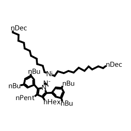 CCCCCCC1=C(c2cc(CCCC)cc(CCCC)c2)[N+](=[N-])C(c2cc(CCCC)cc(CCCC)c2)=C1CCCCC.CCCCCCCCCCCCCCCCCCCC[CH2][Ni][CH2]CCCCCCCCCCCCCCCCCCCC